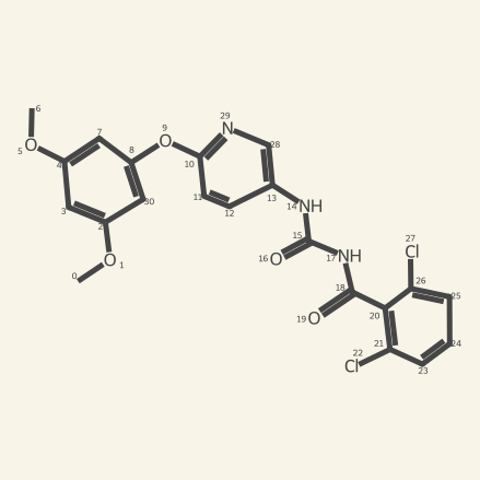 COc1cc(OC)cc(Oc2ccc(NC(=O)NC(=O)c3c(Cl)cccc3Cl)cn2)c1